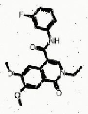 CCn1cc(C(=O)Nc2cccc(F)c2)c2cc(OC)c(OC)cc2c1=O